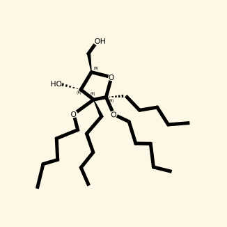 CCCCCO[C@]1(CCCCC)O[C@H](CO)[C@@H](O)[C@@]1(CCCCC)OCCCCC